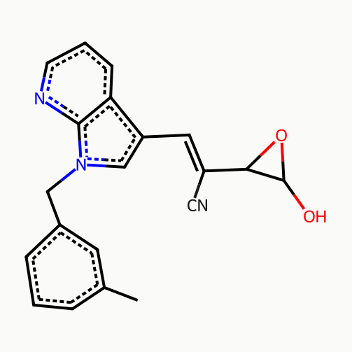 Cc1cccc(Cn2cc(/C=C(\C#N)C3OC3O)c3cccnc32)c1